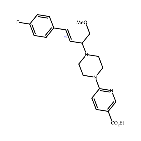 CCOC(=O)c1ccc(N2CCN(C(/C=C/c3ccc(F)cc3)COC)CC2)nc1